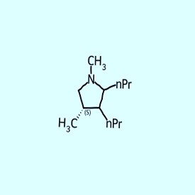 CCCC1C(CCC)N(C)C[C@H]1C